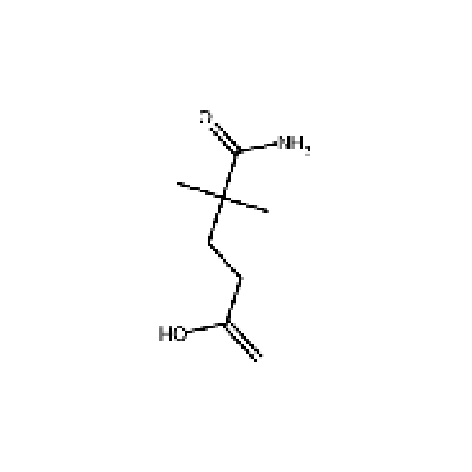 C=C(O)CCC(C)(C)C(N)=O